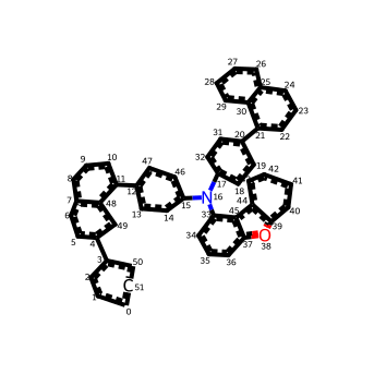 c1ccc(-c2ccc3cccc(-c4ccc(N(c5ccc(-c6cccc7ccccc67)cc5)c5cccc6oc7ccccc7c56)cc4)c3c2)cc1